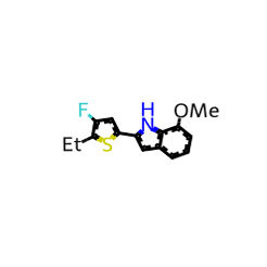 CCc1sc(-c2cc3cccc(OC)c3[nH]2)cc1F